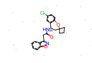 O=C(Cc1noc2ccccc12)N[C@@H]1CC2(CCC2)Oc2ccc(Cl)cc21